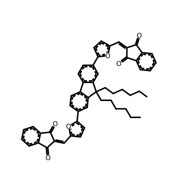 CCCCCCC1(CCCCCC)c2cc(-c3ccc(C=C4C(=O)c5ccccc5C4=O)o3)ccc2-c2ccc(-c3ccc(C=C4C(=O)c5ccccc5C4=O)o3)cc21